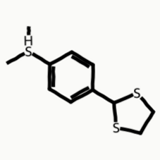 C[SH](C)c1ccc(C2SCCS2)cc1